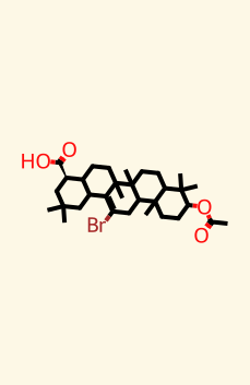 CC(=O)OC1CCC2(C)C(CCC3(C)C2CC(Br)=C2C4CC(C)(C)C[C@@H](C(=O)O)C4CCC23C)C1(C)C